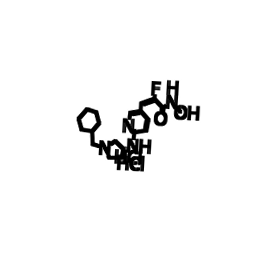 Cl.Cl.O=C(NO)/C(F)=C\c1ccc(N[C@@H]2CCN(CC3CCCCC3)C2)nc1